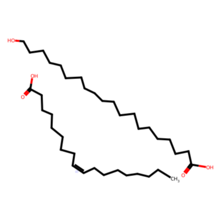 CCCCCCCC/C=C\CCCCCCCC(=O)O.O=C(O)CCCCCCCCCCCCCCCCCCCO